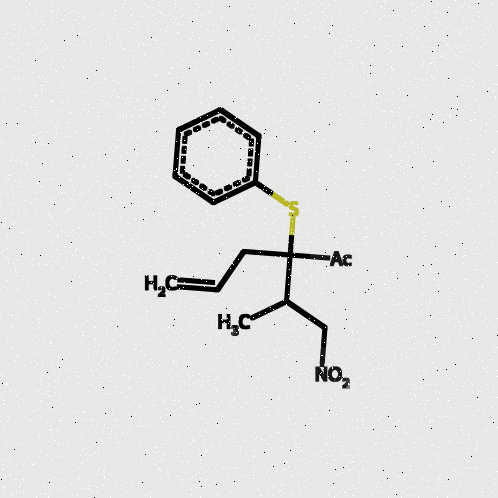 C=CCC(Sc1ccccc1)(C(C)=O)C(C)C[N+](=O)[O-]